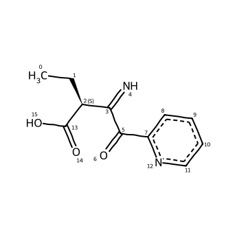 CC[C@@H](C(=N)C(=O)c1ccccn1)C(=O)O